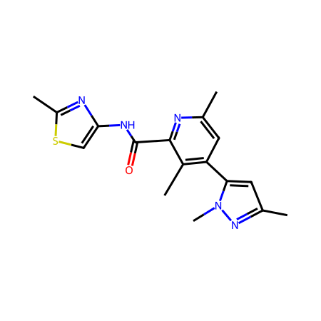 Cc1cc(-c2cc(C)nn2C)c(C)c(C(=O)Nc2csc(C)n2)n1